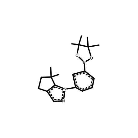 CC1(C)CCc2cnn(-c3cccc(B4OC(C)(C)C(C)(C)O4)c3)c21